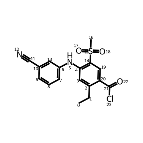 CCc1cc(Nc2cccc(C#N)c2)c(S(C)(=O)=O)cc1C(=O)Cl